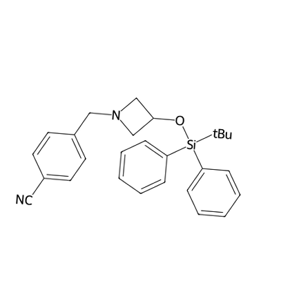 CC(C)(C)[Si](OC1CN(Cc2ccc(C#N)cc2)C1)(c1ccccc1)c1ccccc1